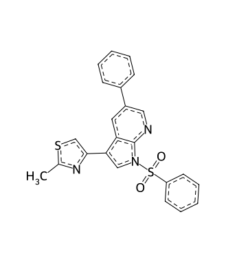 Cc1nc(-c2cn(S(=O)(=O)c3ccccc3)c3ncc(-c4ccccc4)cc23)cs1